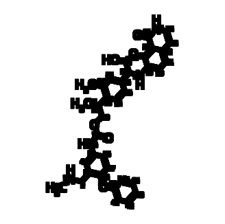 CNCc1cc(NC(=O)OC[C@H](C)c2ccc(C(Nc3ccc4cc[nH]c(=O)c4c3)C(=O)O)cc2C)ccc1Oc1ccccn1